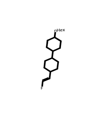 CCCCCCC1CCC(C2CCC(/C=C/F)CC2)CC1